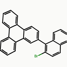 Brc1ccc2ccccc2c1-c1ccc2c3ccccc3c3ccccc3c2c1